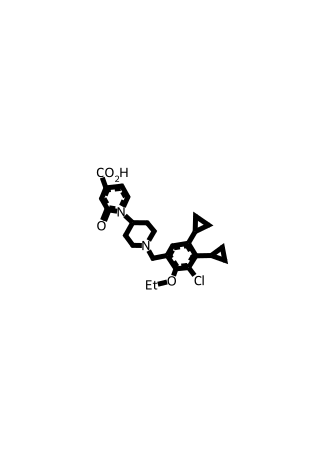 CCOc1c(CN2CCC(n3ccc(C(=O)O)cc3=O)CC2)cc(C2CC2)c(C2CC2)c1Cl